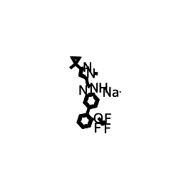 Cn1nc(C2(C)CC2)cc1-c1nc2cc(-c3ccccc3OC(F)(F)F)ccc2[nH]1.[Na]